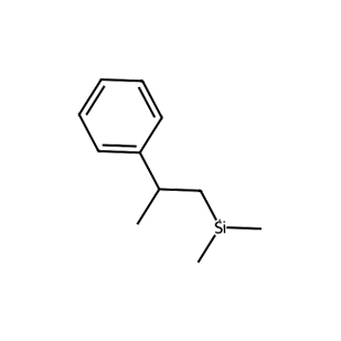 CC(C[Si](C)C)c1ccccc1